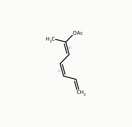 C=C/C=C\C=C(/C)OC(C)=O